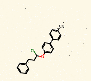 N#Cc1ccc(-c2ccc(OC(Cl)CCc3ccccc3)cc2)cc1